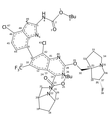 CC(C)(C)OC(=O)Nc1nc2c(-c3c(C(F)(F)F)cc4c(N5CC6CCC(C5)N6C(=O)OC(C)(C)C)nc(OC[C@@]56CCCN5C[C@H](F)C6)nc4c3Cl)ccc(Cl)c2s1